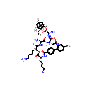 CCCCc1ccc(-c2ccc(C(=O)N[C@@H](CCCCN)C(=O)N[C@@H](CCCCN)C(=O)N[C@@H](N)C(=O)N[C@@H](CC(N)=O)C(=O)N[C@@H](N)B3OC4C[C@@H]5C[C@@H](C5(C)C)[C@]4(C)O3)cc2)cc1